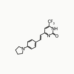 O=c1nc(/C=C/c2ccc(N3CCCC3)cc2)cc(C(F)(F)F)[nH]1